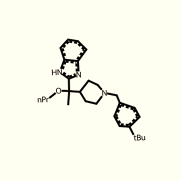 CCCOC(C)(c1nc2ccccc2[nH]1)C1CCN(Cc2ccc(C(C)(C)C)cc2)CC1